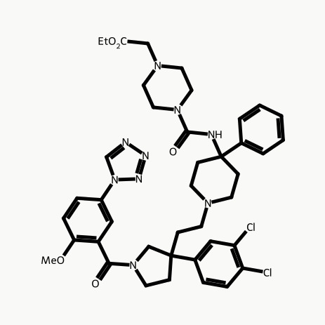 CCOC(=O)CN1CCN(C(=O)NC2(c3ccccc3)CCN(CCC3(c4ccc(Cl)c(Cl)c4)CCN(C(=O)c4cc(-n5cnnn5)ccc4OC)C3)CC2)CC1